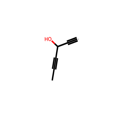 [C]#CC(O)C#CC